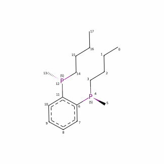 CCCC[P@@](C)c1ccccc1[P@](C)CCCC